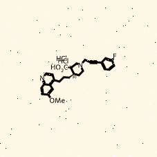 COc1ccc2nccc(CCC[C@@H]3CCN(CC#Cc4cccc(F)c4)C[C@@H]3C(=O)O)c2c1.Cl.Cl